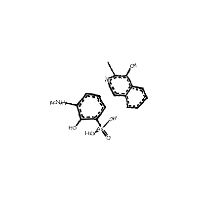 CC(=O)Nc1cccc([As](=O)(O)O)c1O.Cc1ncc2ccccc2c1C#N